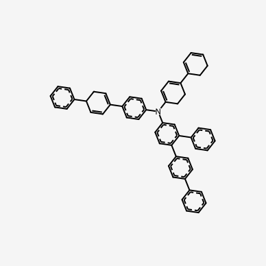 C1=CCCC(C2=CC=C(N(c3ccc(C4=CCC(c5ccccc5)C=C4)cc3)c3ccc(-c4ccc(-c5ccccc5)cc4)c(-c4ccccc4)c3)CC2)=C1